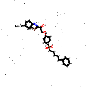 COc1ccc2nc(C(=O)COc3ccc(S(=O)(=O)CCCCCc4ccccc4)cc3)sc2c1